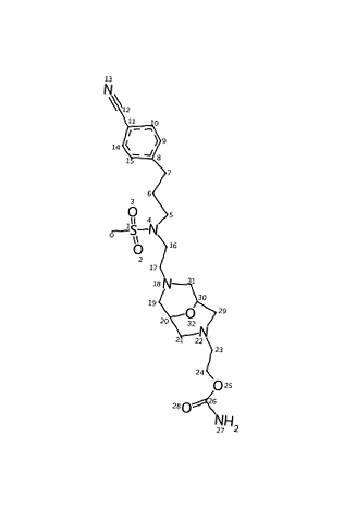 CS(=O)(=O)N(CCCc1ccc(C#N)cc1)CCN1CC2CN(CCOC(N)=O)CC(C1)O2